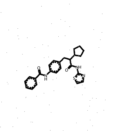 O=C(Nc1ccc(CC(C(=O)Nc2nccs2)C2CCCC2)cc1)c1ccccc1